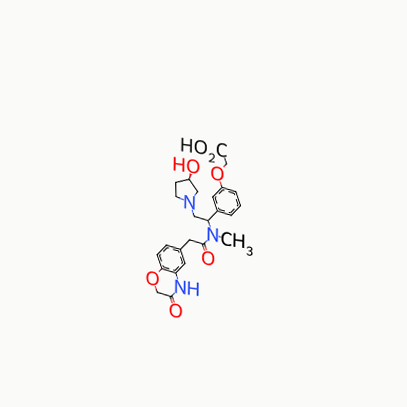 CN(C(=O)Cc1ccc2c(c1)NC(=O)CO2)C(CN1CC[C@@H](O)C1)c1cccc(OCC(=O)O)c1